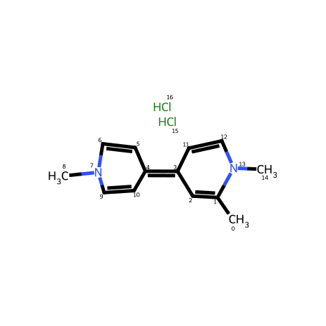 CC1=CC(=C2C=CN(C)C=C2)C=CN1C.Cl.Cl